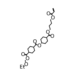 C=CC(=O)OCCCCOC(=O)C1CCC(OC(=O)C2CCC(C(=O)OCOCC)CC2)CC1